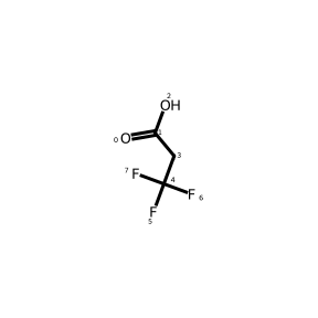 O=C(O)[CH]C(F)(F)F